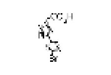 O=C(O)Cn1nnc(-c2cnc(Br)s2)n1